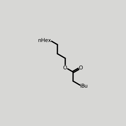 CCCCCCCCCOC(=O)CC(C)CC